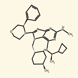 CNc1nc(N[C@H](C)C2CCC2)c2c(n1)nc(N1CCOC[C@H]1c1ccccc1)n2C[C@H]1CC[C@H](C)CC1